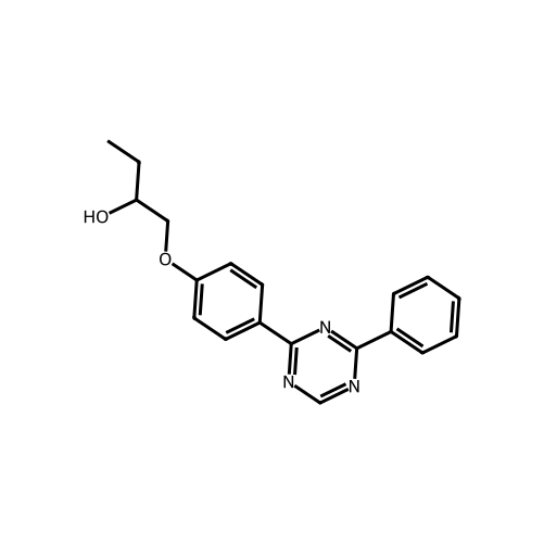 CCC(O)COc1ccc(-c2ncnc(-c3ccccc3)n2)cc1